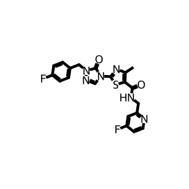 Cc1nc(-n2cnn(Cc3ccc(F)cc3)c2=O)sc1C(=O)NCc1cc(F)ccn1